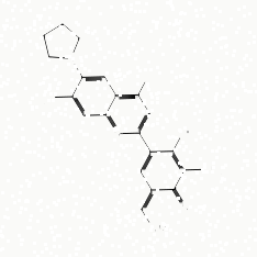 CN/C=C1/C=C(c2cc(Cl)c3cc(N4CCCC4)c(C)cc3n2)C(O)=C(C)C1=N